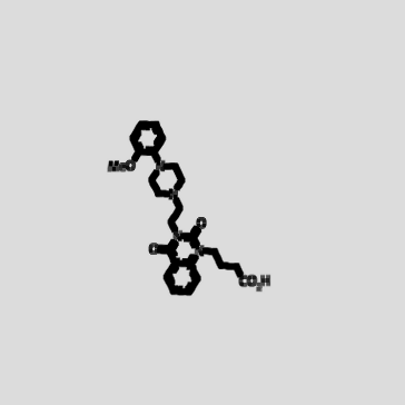 COc1ccccc1N1CCN(CCn2c(=O)c3ccccc3n(CCCC(=O)O)c2=O)CC1